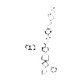 CC(C)c1ccccc1[C@H]1CCCN1C1CC2(CCN(c3ccc(C(=O)NS(=O)(=O)c4cnc(NC[C@@H]5CCC(N=S(C)(C)=O)CO5)c([N+](=O)[O-])c4)c(Oc4cnc5[nH]ccc5c4)c3)CC2)C1